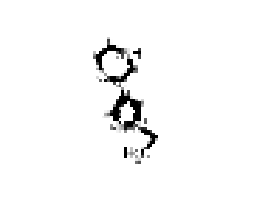 CCn1cc([C@H]2CNCCO2)cn1